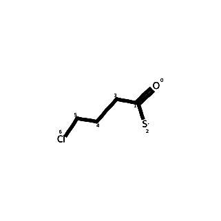 O=C([S])CCCCl